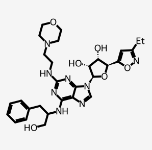 CCc1cc([C@H]2O[C@@H](n3cnc4c(NC(CO)Cc5ccccc5)nc(NCCN5CCOCC5)nc43)[C@H](O)[C@@H]2O)on1